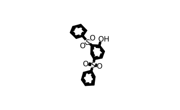 O=S(=O)(c1ccccc1)c1ccc(O)c(S(=O)(=O)c2ccccc2)c1